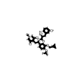 Cl.NC(Cc1ccccc1)C(=O)OC(Cc1c(Cl)c[n+]([O-])cc1Cl)c1ccc(OC(F)F)c(OCC2CC2)c1